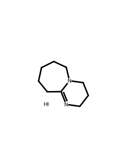 C1CCC2=NCCCN2CC1.I